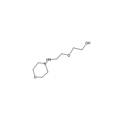 OCCOCCNN1CCOCC1